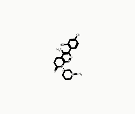 Cc1c(-c2ccc(C#N)cc2O)nnc2c1CCC(=O)N2[C@H]1CCCN(C)C1